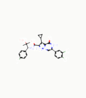 CC(C)(O)[C@@H](NC(=O)c1nn2cc(-c3ccc(Cl)c(Cl)c3)[nH]c(=O)c2c1C1CC1)c1ccc(F)cc1